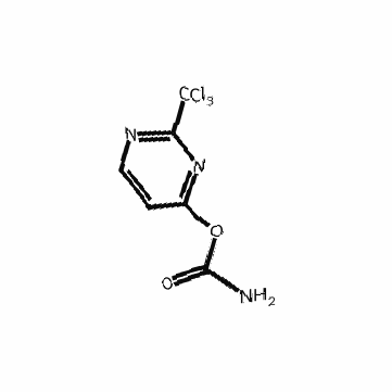 NC(=O)Oc1ccnc(C(Cl)(Cl)Cl)n1